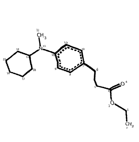 CCOC(=O)CCc1ccc(N(C)C2CCCCC2)cc1